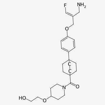 NCC(=CF)COc1ccc(C23CCC(C(=O)N4CCC(OCCO)CC4)(CC2)CC3)cc1